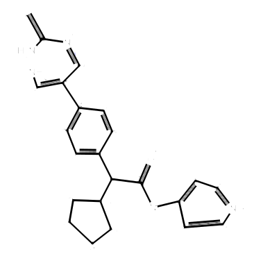 C=C(N)/N=C\C(=C/N)c1ccc(C(C(=O)Nc2ccncc2)C2CCCC2)cc1